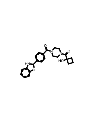 O=C(c1ccc(C2Nc3ccccc3S2)cc1)N1CCN(C(=O)C2(O)CCC2)CC1